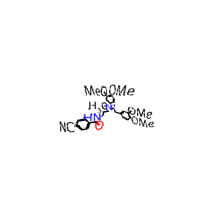 COc1ccc(CC[N+](C)(CCCNC(=O)c2ccc(C#N)cc2)c2ccc(OC)c(OC)c2)cc1OC